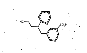 N#CCCN(Cc1cccc(S(=O)(=O)O)c1)c1ccccc1